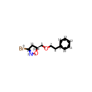 BrC1=NO[C@H](COCCc2ccccc2)C1